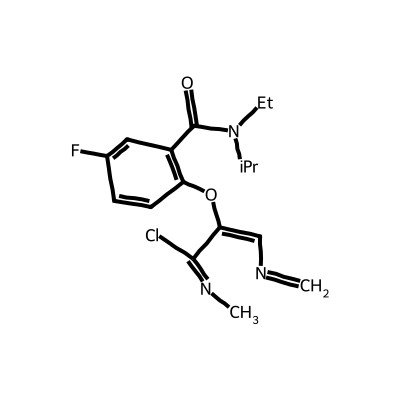 C=N/C=C(Oc1ccc(F)cc1C(=O)N(CC)C(C)C)\C(Cl)=N/C